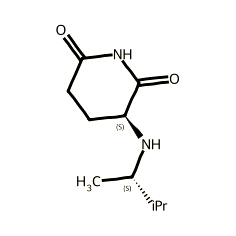 CC(C)[C@H](C)N[C@H]1CCC(=O)NC1=O